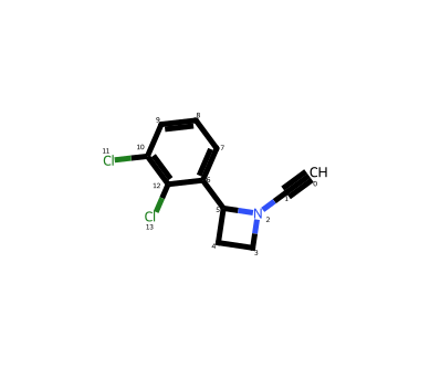 C#CN1CCC1c1cccc(Cl)c1Cl